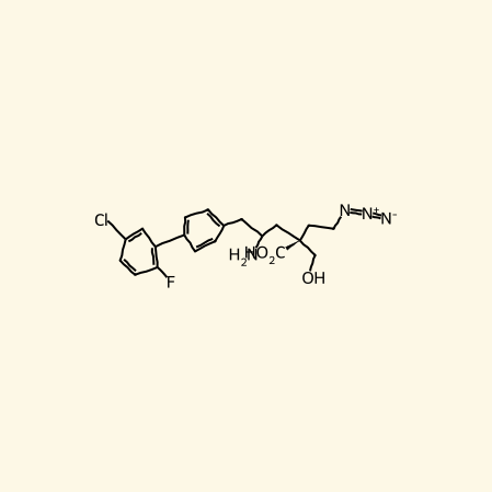 [N-]=[N+]=NCC[C@](CO)(CC(N)Cc1ccc(-c2cc(Cl)ccc2F)cc1)C(=O)O